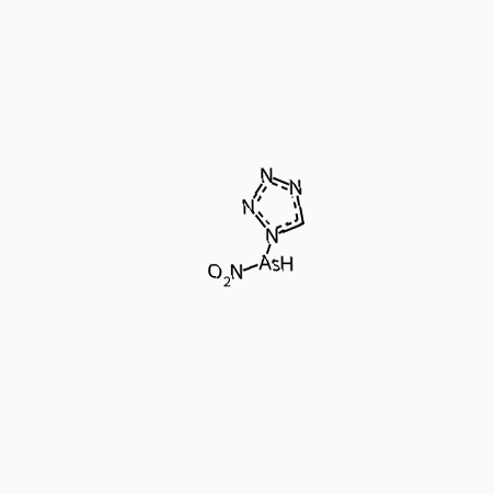 O=[N+]([O-])[AsH]n1cnnn1